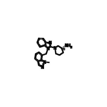 Cn1ncc2cccc(Cn3c(N4CCC[C@@H](N)C4)nc4ccccc43)c21